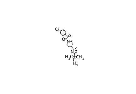 CC(C)(C)c1csc(C2CCN(C(=O)C3(c4ccc(Cl)cc4)CC3)CC2)n1